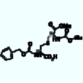 COC(=O)[C@@H](CSC[C@H](NC(=O)OCc1ccccc1)C(=O)O)NC(=O)OC(C)(C)C